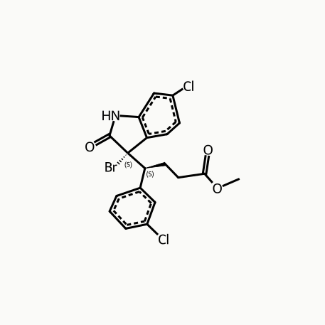 COC(=O)CC[C@@H](c1cccc(Cl)c1)[C@@]1(Br)C(=O)Nc2cc(Cl)ccc21